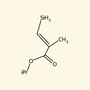 CC(=C[SiH3])C(=O)OC(C)C